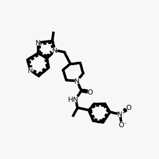 Cc1nc2cnccc2n1CC1CCN(C(=O)NC(C)c2ccc([N+](=O)[O-])cc2)CC1